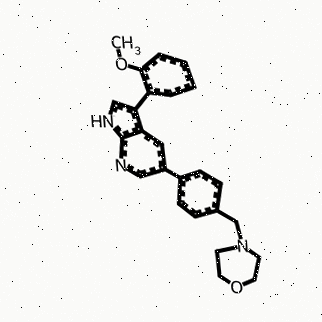 COc1ccccc1-c1c[nH]c2ncc(-c3ccc(CN4CCOCC4)cc3)cc12